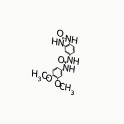 COc1ccc(NC(=O)Nc2ccc3[nH]c(=O)[nH]c3c2)cc1OC